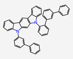 c1ccc(-c2cccc(-c3ccccc3-n3c4ccccc4c4cc5c6ccccc6n(-c6cccc(-c7ccccc7)c6)c5cc43)c2)cc1